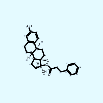 C[C@]12CC[C@@H]3c4ccc(O)cc4CC[C@H]3[C@@H]1CC[C@]2(O)OC(=O)CCc1ccccc1